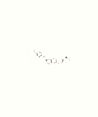 CCCc1ccc(COc2ccc3c(c2)CCC(CN2CC(C(=O)NC)C2)=C3C)c(OC)c1